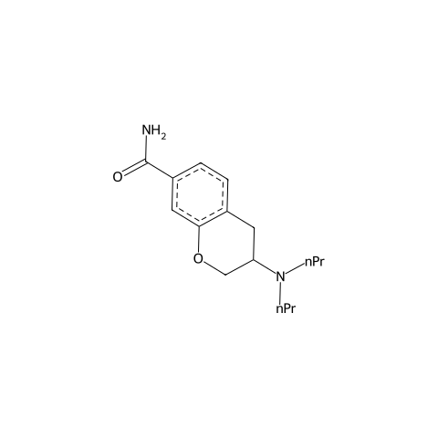 CCCN(CCC)C1COc2cc(C(N)=O)ccc2C1